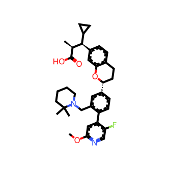 COc1cc(-c2ccc([C@H]3CCc4ccc([C@H](C5CC5)[C@H](C)C(=O)O)cc4O3)cc2CN2CCCCC2(C)C)c(F)cn1